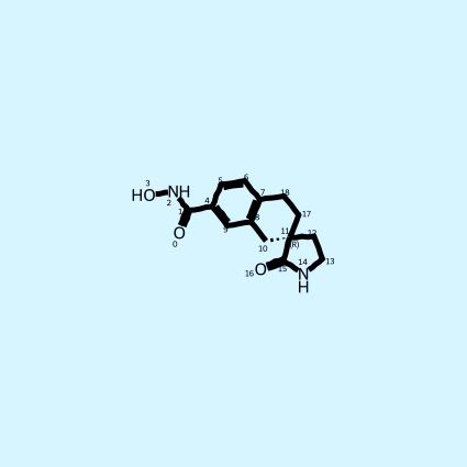 O=C(NO)c1ccc2c(c1)C[C@@]1(CCNC1=O)CC2